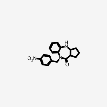 O=C1C2CCCC2Nc2ccccc2N1Cc1ccc([N+](=O)[O-])cc1